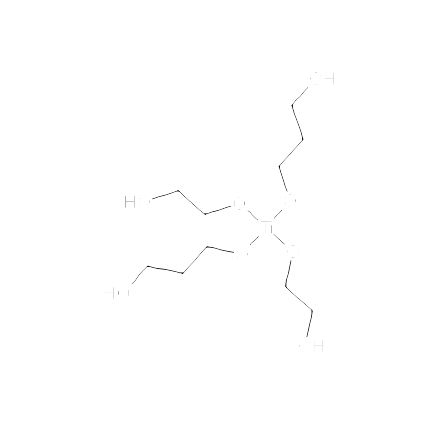 OCCC[O][Ti]([O]CCO)([O]CCO)[O]CCCO